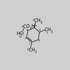 CC1=CCC(C)C(C)C1.O=C(O)O